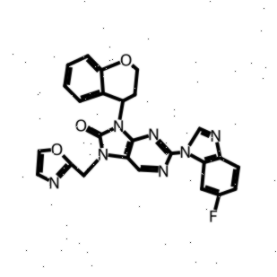 O=c1n(Cc2ncco2)c2cnc(-n3cnc4ccc(F)cc43)nc2n1C1CCOc2ccccc21